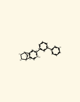 c1ccc(-c2cccc(-c3cc4c(cn3)C3CCC4C3)c2)cc1